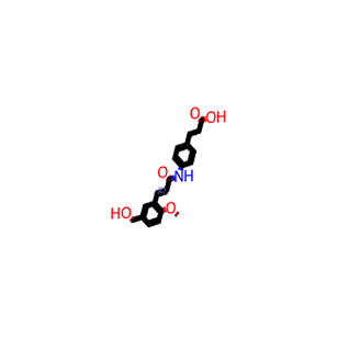 COc1ccc(CO)cc1/C=C/C(=O)Nc1ccc(CCC(=O)O)cc1